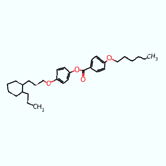 CCCCCCOc1ccc(C(=O)Oc2ccc(OCCCC3CCCCC3CCC)cc2)cc1